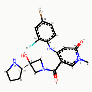 Cn1cc(C(=O)N2CC(O)([C@@H]3CCCN3)C2)c(Nc2ccc(Br)cc2F)cc1=O